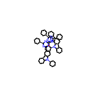 c1ccc(-c2nc(-c3ccccc3)nc(-c3ccccc3-n3c4ccccc4c4ccc5c6ccccc6n(-c6nc(-c7ccccc7)nc(-c7ccc8c(c7)c7ccccc7n8-c7ccccc7)n6)c5c43)n2)cc1